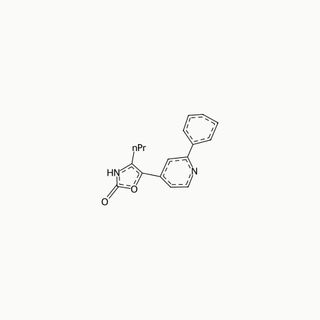 CCCc1[nH]c(=O)oc1-c1ccnc(-c2ccccc2)c1